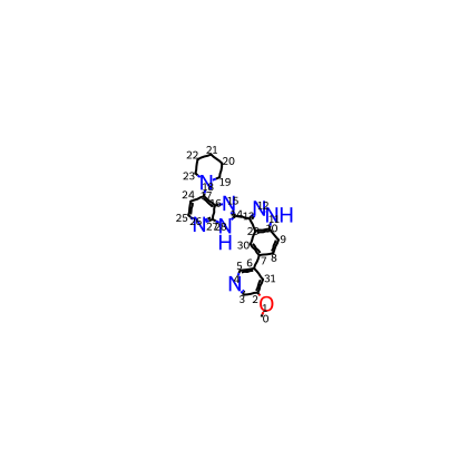 COc1cncc(-c2ccc3[nH]nc(-c4nc5c(N6CCCCC6)ccnc5[nH]4)c3c2)c1